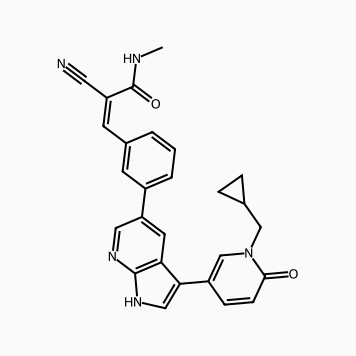 CNC(=O)C(C#N)=Cc1cccc(-c2cnc3[nH]cc(-c4ccc(=O)n(CC5CC5)c4)c3c2)c1